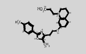 Cc1ccc(-c2nc(CCOc3ccc4c(c3)N(CCC(=O)O)CCC4)c(C)o2)cc1